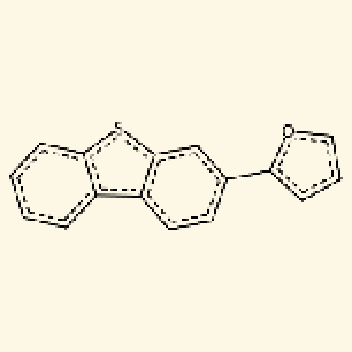 c1coc(-c2ccc3c(c2)sc2ccccc23)c1